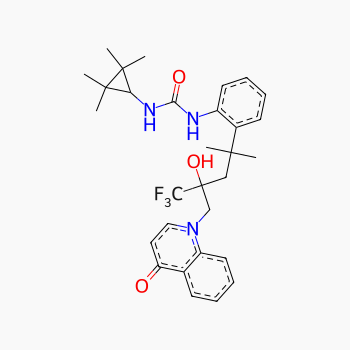 CC(C)(CC(O)(Cn1ccc(=O)c2ccccc21)C(F)(F)F)c1ccccc1NC(=O)NC1C(C)(C)C1(C)C